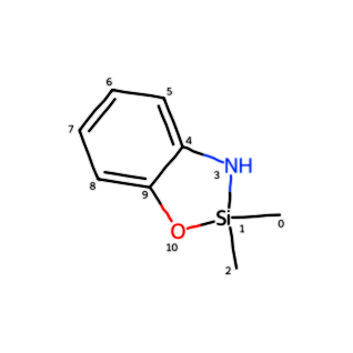 C[Si]1(C)Nc2ccccc2O1